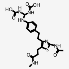 CNC(=O)CCc1sc(NC(C)=O)nc1CCc1ccc(NC(NC(=O)O)NC(=O)O)cc1